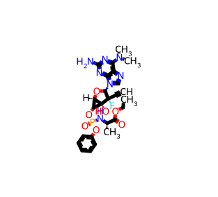 C#C[C@]1(F)[C@H](n2cnc3c(N(C)C)nc(N)nc32)O[C@@H]2C(OP(=O)(N[C@@H](C)C(=O)OCC)Oc3ccccc3)[C@@]21O